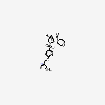 NC/C(=C\F)COc1ccc(S(=O)(=O)N2C[C@H]3C[C@@]3(C(=O)N3CCOCC3)C2)cn1